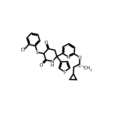 C[C@H](CC1CC1)Oc1cccc(C2(c3ccsc3)CC(=O)C(Sc3ccccc3Cl)C(=O)N2)n1